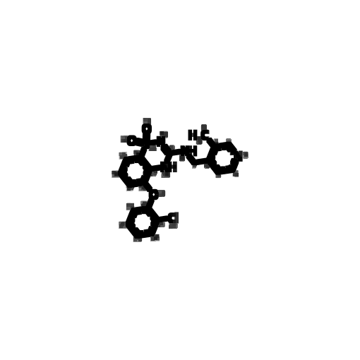 Cc1cnccc1CNC1=NS(=O)(=O)c2cccc(Oc3ccccc3Cl)c2N1